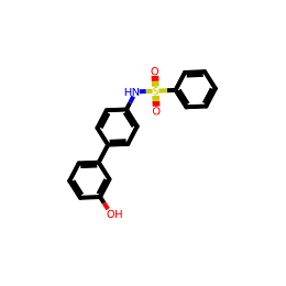 O=S(=O)(Nc1ccc(-c2cccc(O)c2)cc1)c1ccccc1